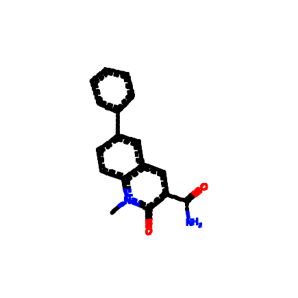 Cn1c(=O)c(C(N)=O)cc2cc(-c3ccccc3)ccc21